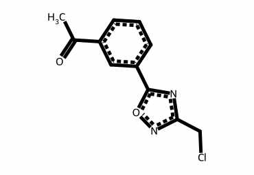 CC(=O)c1cccc(-c2nc(CCl)no2)c1